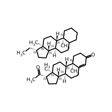 CC(=O)[C@H]1CC[C@H]2[C@@H]3CCC4=CC(=O)CC[C@]4(C)[C@H]3CC[C@]12C.CC[C@H]1CC[C@H]2[C@@H]3CCC4CCCC[C@]4(C)[C@H]3CC[C@]12C